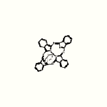 CO[Si]1(OC)n2c3c4ccccc4c2/N=C2N=C(/N=c4/c5ccccc5/c(n41)=N/C1=NC(=N\3)/c3ccccc31)c1ccccc1\2